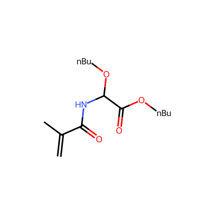 C=C(C)C(=O)NC(OCCCC)C(=O)OCCCC